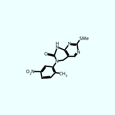 CSc1ncc2c(n1)NC(=O)N(c1cc([N+](=O)[O-])ccc1C)C2